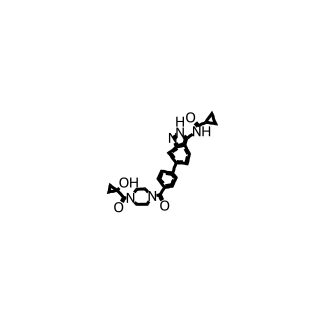 O=C(Nc1[nH]nc2cc(-c3ccc(C(=O)N4CCN(C(=O)C5(O)CC5)CC4)cc3)ccc12)C1CC1